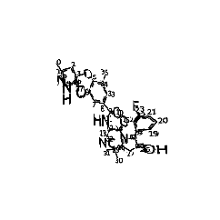 Cc1cc(Oc2ccc(C(=O)NC(C)C(=O)N3[C@H](c4cccc(F)c4)[C@H](O)C[C@@H]3C(C)(C)C#N)cc2C)c(=O)[nH]n1